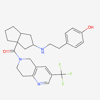 O=C(N1CCc2ncc(C(F)(F)F)cc2C1)C12CCCC1CC(NCCc1ccc(O)cc1)C2